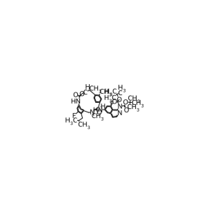 Cc1cc2ccc1[C@@H](C)COC(=O)Nc1cc(F)c(CC(C)C)c(c1)CN(C)C(=O)[C@@H]2Nc1cc(F)c2c(N(C(=O)OC(C)(C)C)C(=O)OC(C)(C)C)nccc2c1